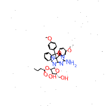 CCCC(=O)OC1C(O)[C@@H](CO)O[C@H]1N1C=NC2(C(c3ccccc3)(c3ccc(OC)cc3)c3ccc(OC)cc3)C(=O)N=C(N)N=C12